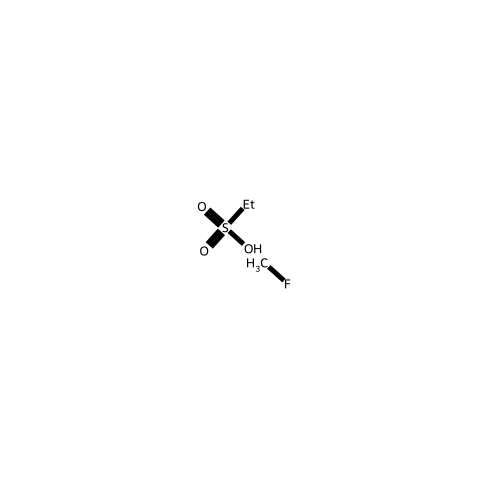 CCS(=O)(=O)O.CF